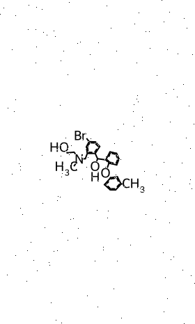 Cc1cccc(Oc2ccccc2C(O)c2ccc(Br)cc2CN(C)CCO)c1